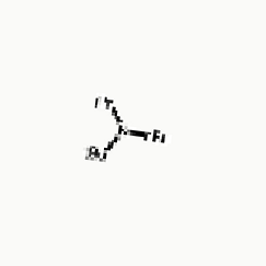 CCCCN(C(C)C)C(C)(C)C